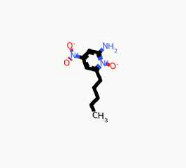 CCCCCc1cc([N+](=O)[O-])cc(N)[n+]1[O-]